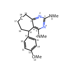 CNc1nc2c(c(NC)n1)C(c1ccc(OC)cc1)CCCC2